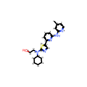 Cc1ccnc(Nc2cccc(-c3cnc(N(CCO)C4CCCCC4)s3)n2)c1